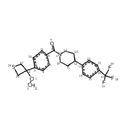 COC1(c2ccc(C(=O)N3CCC(c4ccc(C(F)(F)F)cc4)CC3)cc2)CSC1